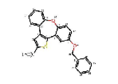 CCOC(=O)c1cc2c(s1)-c1cc(OCc3ccccc3)ccc1Oc1ccccc1-2